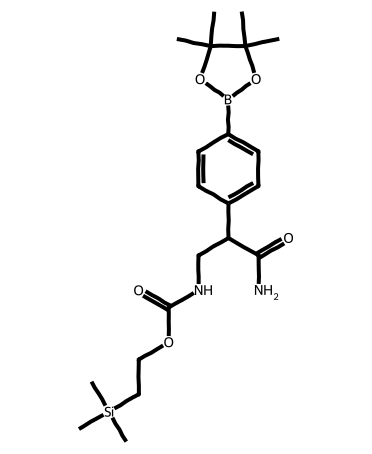 CC1(C)OB(c2ccc(C(CNC(=O)OCC[Si](C)(C)C)C(N)=O)cc2)OC1(C)C